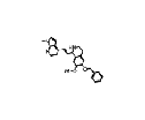 COc1cc2c(cc1OCc1ccccc1)CCNC2/C=C/c1ccnc2c1ccn2C